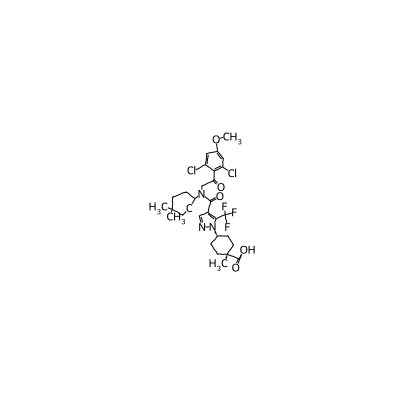 COc1cc(Cl)c(C(=O)CN(C(=O)c2cnn([C@H]3CC[C@](C)(C(=O)O)CC3)c2C(F)(F)F)C2CCC(C)(C)CC2)c(Cl)c1